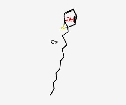 CCCCCCCCCCCCC12C=CC=CC1(O)S2.[Ca]